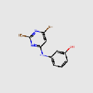 Oc1cccc(Nc2cc(S)nc(S)n2)c1